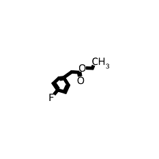 CCOC(=O)Cc1ccc(F)cc1